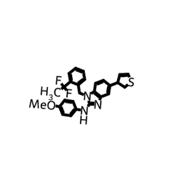 COc1ccc(Nc2nc3cc(C4C=CSC4)ccc3n2Cc2ccccc2C(C)(F)F)cc1